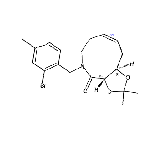 Cc1ccc(CN2CC/C=C\C[C@H]3OC(C)(C)O[C@@H]3C2=O)c(Br)c1